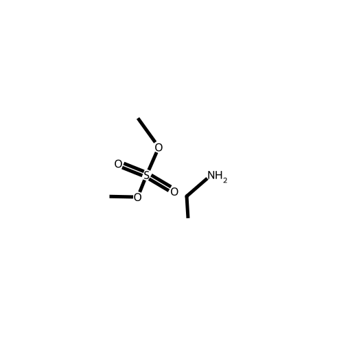 CCN.COS(=O)(=O)OC